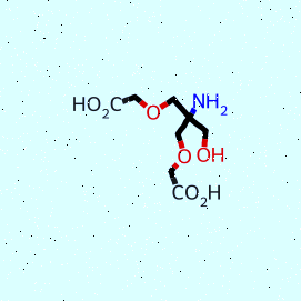 NC(CO)(COCC(=O)O)COCC(=O)O